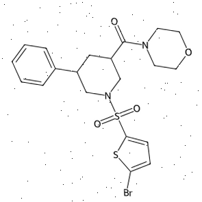 O=C(C1CC(c2ccccc2)CN(S(=O)(=O)c2ccc(Br)s2)C1)N1CCOCC1